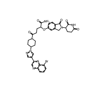 NC(=O)C(CCC(=O)N1CCC(n2cc(-c3cnc4cccc(Br)c4n3)cn2)CC1)Oc1ccc2c(c1)CN(C1CCC(=O)NC1=O)C2=O